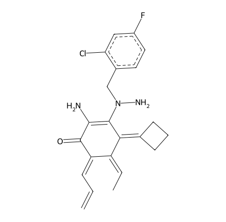 C=C/C=C1/C(=O)C(N)=C(N(N)Cc2ccc(F)cc2Cl)C(=C2CCC2)/C1=C/C